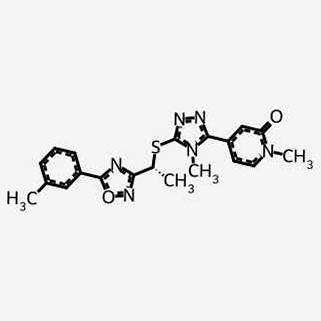 Cc1cccc(-c2nc([C@@H](C)Sc3nnc(-c4ccn(C)c(=O)c4)n3C)no2)c1